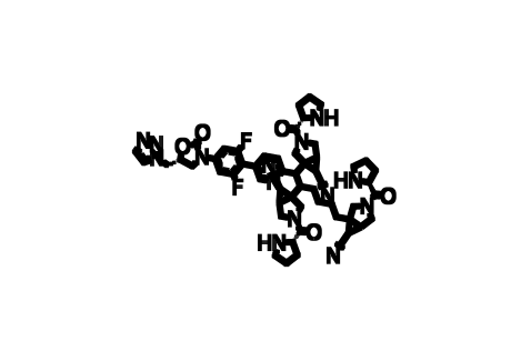 N#CC1C2CN(C(=O)[C@@H]3CCCN3)CC12CCCCC(C(c1ccc(-c2c(F)cc(N3C[C@H](Cn4ccnn4)OC3=O)cc2F)cn1)C12CN(C(=O)[C@@H]3CCCN3)CC1C2C#N)C12CN(C(=O)[C@@H]3CCCN3)CC1C2C#N